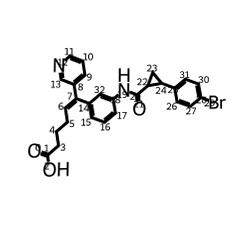 O=C(O)CCCC=C(c1cccnc1)c1cccc(NC(=O)C2CC2c2ccc(Br)cc2)c1